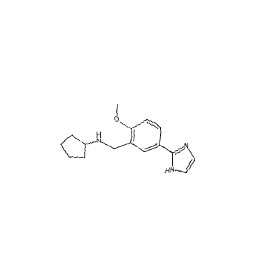 COc1ccc(-c2ncc[nH]2)cc1CNC1CCCC1